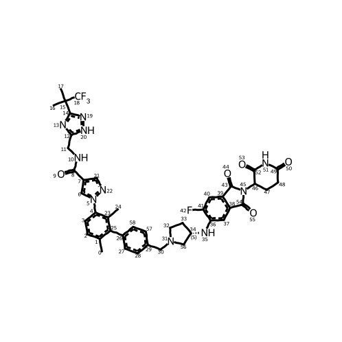 Cc1ccc(-n2cc(C(=O)NCc3nc(C(C)(C)C(F)(F)F)n[nH]3)cn2)c(C)c1-c1ccc(CN2CC[C@H](Nc3cc4c(cc3F)C(=O)N(C3CCC(=O)NC3=O)C4=O)C2)cc1